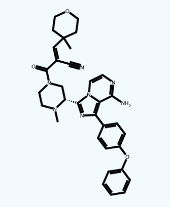 CN1CCN(C(=O)C(C#N)=CC2(C)CCOCC2)C[C@@H]1c1nc(-c2ccc(Oc3ccccc3)cc2)c2c(N)nccn12